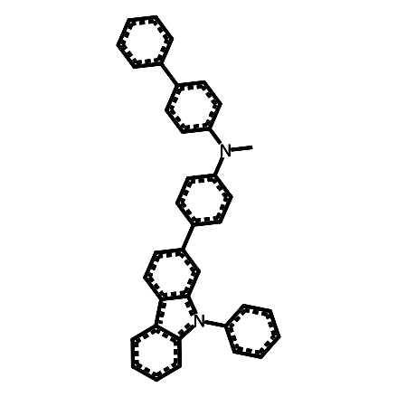 CN(c1ccc(-c2ccccc2)cc1)c1ccc(-c2ccc3c4ccccc4n(-c4ccccc4)c3c2)cc1